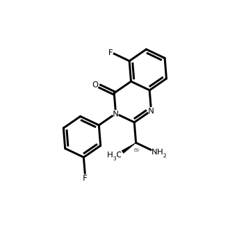 C[C@H](N)c1nc2cccc(F)c2c(=O)n1-c1cccc(F)c1